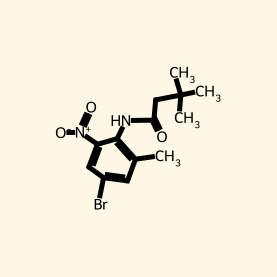 Cc1cc(Br)cc([N+](=O)[O-])c1NC(=O)CC(C)(C)C